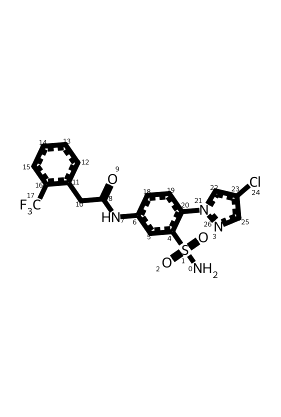 NS(=O)(=O)c1cc(NC(=O)Cc2ccccc2C(F)(F)F)ccc1-n1cc(Cl)cn1